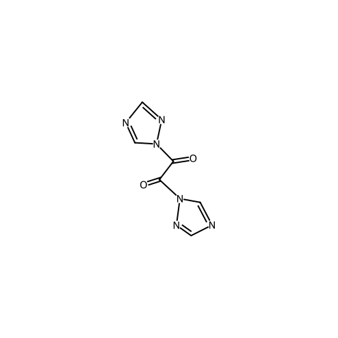 O=C(C(=O)n1cncn1)n1cncn1